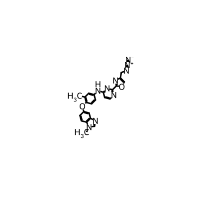 Cc1cc(Nc2ccnc(-c3nc(CN=[N+]=[N-])co3)n2)ccc1Oc1ccc2c(c1)ncn2C